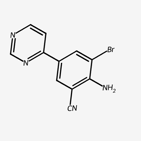 N#Cc1cc(-c2ccncn2)cc(Br)c1N